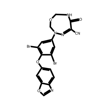 N#C/C1=N/N(c2cc(Br)c(Oc3ccc4ncoc4c3)c(Br)c2)COCNC1=O